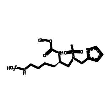 CC(C)(C)OC(=O)N[C@@H](CCCCNC(=O)O)CN(Cc1cccs1)S(C)(=O)=O